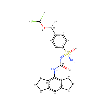 C[C@@H](OC(F)F)c1ccc([S@](N)(=O)=NC(=O)Nc2c3c(cc4c2CCC4)CCC3)cc1